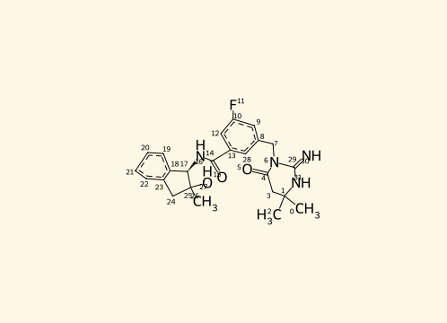 CC1(C)CC(=O)N(Cc2cc(F)cc(C(=O)N[C@@H]3c4ccccc4CC3(C)O)c2)C(=N)N1